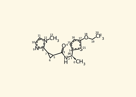 C[C@@H](NC(=O)C1CC1c1nccn1C)c1ccc(OCC(F)(F)F)s1